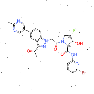 CC(=O)c1nn(CC(=O)N2C[C@H](F)C(O)[C@H]2C(=O)Nc2cccc(Br)n2)c2ccc(-c3cnc(C)nc3)cc12